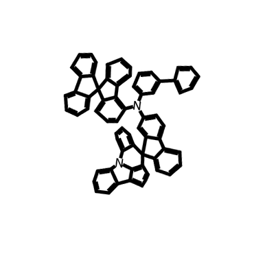 c1ccc(-c2cccc(N(c3ccc4c(c3)C3(c5ccccc5-4)c4ccccc4-n4c5ccccc5c5cccc3c54)c3cccc4c3-c3ccccc3C43c4ccccc4-c4ccccc43)c2)cc1